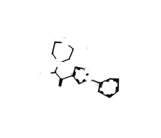 CC(C(=O)c1cnn(-c2ccccc2)c1)N1CCOCC1.Cl